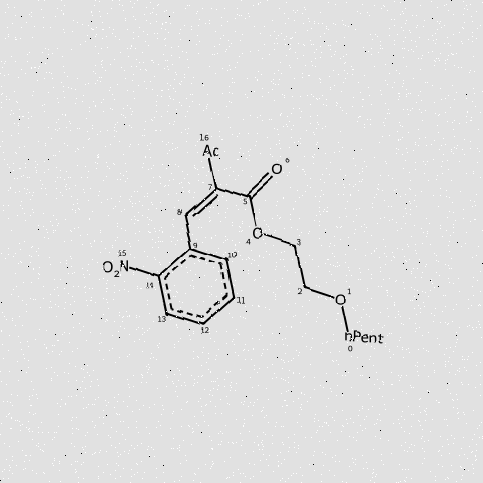 CCCCCOCCOC(=O)C(=Cc1ccccc1[N+](=O)[O-])C(C)=O